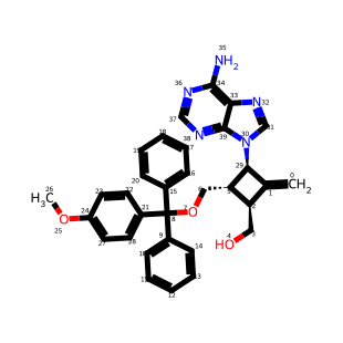 C=C1[C@@H](CO)[C@H](COC(c2ccccc2)(c2ccccc2)c2ccc(OC)cc2)[C@H]1n1cnc2c(N)ncnc21